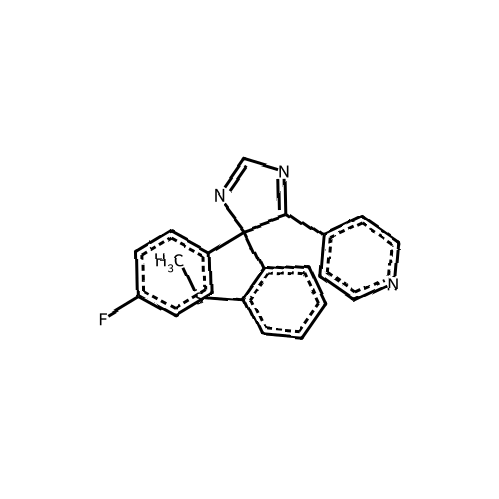 CSc1ccccc1C1(c2ccc(F)cc2)N=CN=C1c1ccncc1